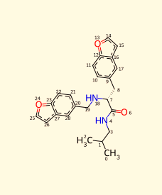 CC(C)CNC(=O)[C@@H](Cc1ccc2occc2c1)NCc1ccc2occc2c1